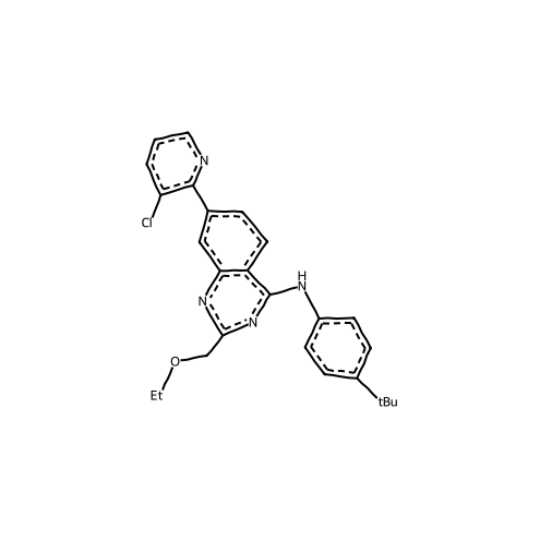 CCOCc1nc(Nc2ccc(C(C)(C)C)cc2)c2ccc(-c3ncccc3Cl)cc2n1